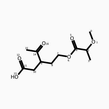 COC(C)C(=O)OCCC(CC(=O)O)C(C)=O